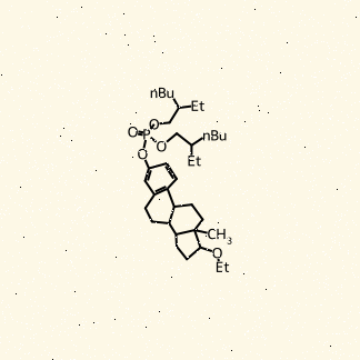 CCCCC(CC)COP(=O)(OCC(CC)CCCC)Oc1ccc2c(c1)CCC1C2CCC2(C)C(OCC)CCC12